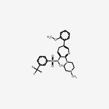 COc1ccccc1C1=CN=C(N2CCN(C)CC2)C(N(C)S(=O)(=O)c2cccc(C(F)(F)F)c2)=CC1